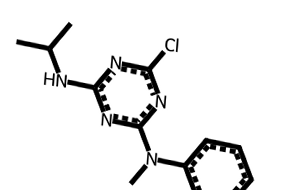 CC(C)Nc1nc(Cl)nc(N(C)c2ccccc2)n1